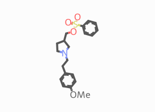 COc1ccc(CCN2CCC(COS(=O)(=O)c3ccccc3)C2)cc1